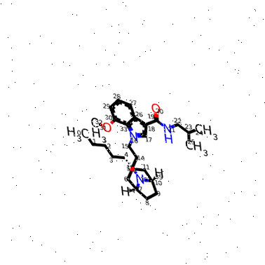 CCCCC[C@H]1C[C@H]2CC[C@@H](C1)N2CCCn1cc(C(=O)NCC(C)C)c2cccc(OC)c21